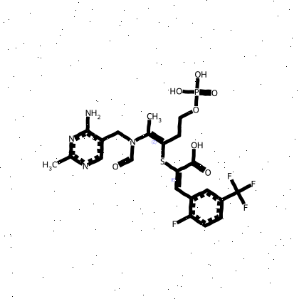 C/C(=C(\CCOP(=O)(O)O)S/C(=C/c1cc(C(F)(F)F)ccc1F)C(=O)O)N(C=O)Cc1cnc(C)nc1N